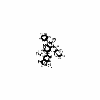 Cc1nc2c(cc1-c1cnc3[nH]cc(F)c3c1)n(C[C@H]1COCCO1)c(=O)n2-c1ccccc1